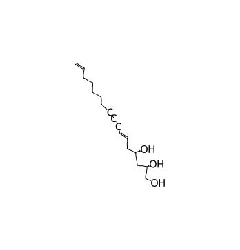 C=CCCCCCCCCC=CC[C@@H](O)C[C@@H](O)CO